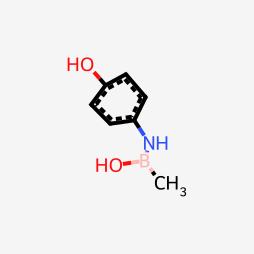 CB(O)Nc1ccc(O)cc1